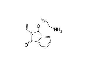 C=CCN.C=CN1C(=O)c2ccccc2C1=O